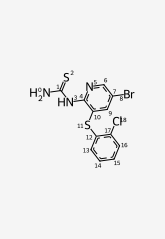 NC(=S)Nc1ncc(Br)cc1Sc1ccccc1Cl